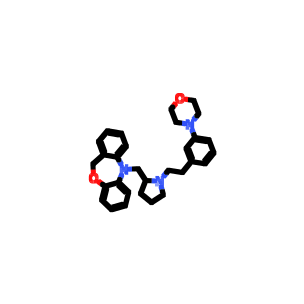 c1cc(CCN2CCCC2CN2c3ccccc3COc3ccccc32)cc(N2CCOCC2)c1